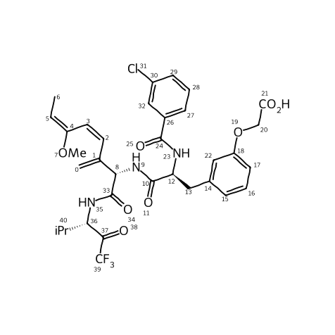 C=C(/C=C\C(=C/C)OC)[C@H](NC(=O)[C@H](Cc1cccc(OCC(=O)O)c1)NC(=O)c1cccc(Cl)c1)C(=O)N[C@H](C(=O)C(F)(F)F)C(C)C